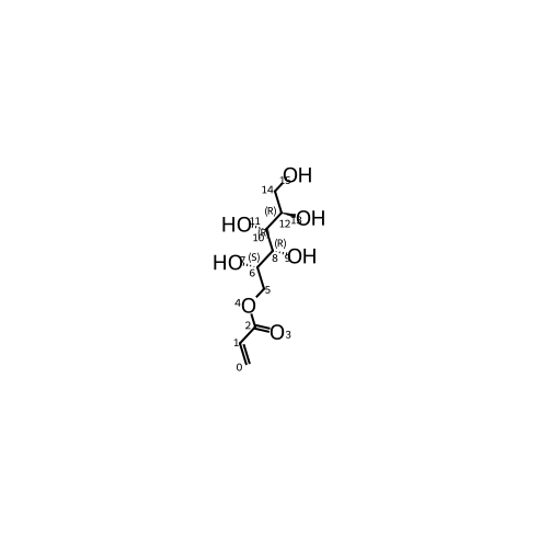 C=CC(=O)OC[C@H](O)[C@@H](O)[C@H](O)[C@H](O)CO